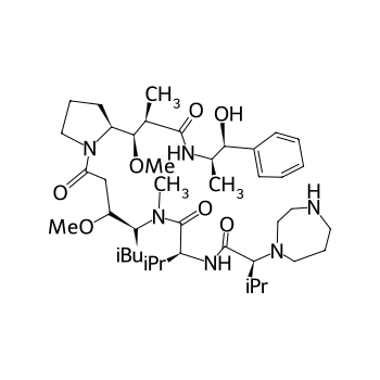 CC[C@H](C)[C@@H](C(CC(=O)N1CCC[C@H]1[C@H](OC)[C@@H](C)C(=O)N[C@H](C)[C@@H](O)c1ccccc1)OC)N(C)C(=O)[C@@H](NC(=O)[C@H](C(C)C)N1CCCNCC1)C(C)C